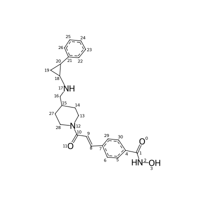 O=C(NO)c1ccc(C=CC(=O)N2CCC(CNC3CC3c3ccccc3)CC2)cc1